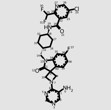 Nc1cncnc1N1CC2(C1)C(=O)N(C[C@H]1CC[C@H](NC(=O)c3cc(Cl)cnc3C(F)F)CC1)c1cc(F)ccc12